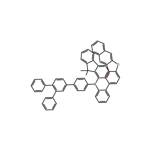 CC1(C)c2ccccc2-c2cccc(N(c3ccc(-c4ccc(-c5ccccc5)c(-c5ccccc5)c4)cc3)c3ccccc3-c3ccc4oc5cc6ccccc6cc5c4c3)c21